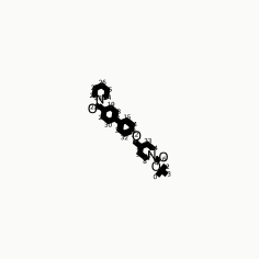 CC(C)(C)OC(=O)N1CCC(COc2ccc(C3=CCC(C(=O)N4CCCCC4)CC3)cc2)CC1